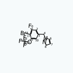 Fc1cc(Cn2cccn2)cc(OC(F)(F)F)c1Br